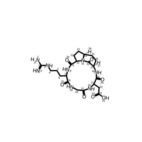 N=C(N)NCCCC1NC(=O)C2CC[C@H]3CC[C@@H](NC(=O)C(CC(=O)O)NC(=O)CNC1=O)C(=O)N23